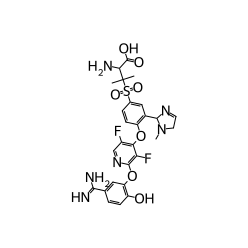 CN1CC=NC1c1cc(S(=O)(=O)C(C)(C)C(N)C(=O)O)ccc1Oc1c(F)cnc(Oc2cc(C(=N)N)ccc2O)c1F